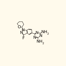 Nc1nc(N)nc(-c2ccc3c(c2)c(F)nn3C2CCCCO2)n1